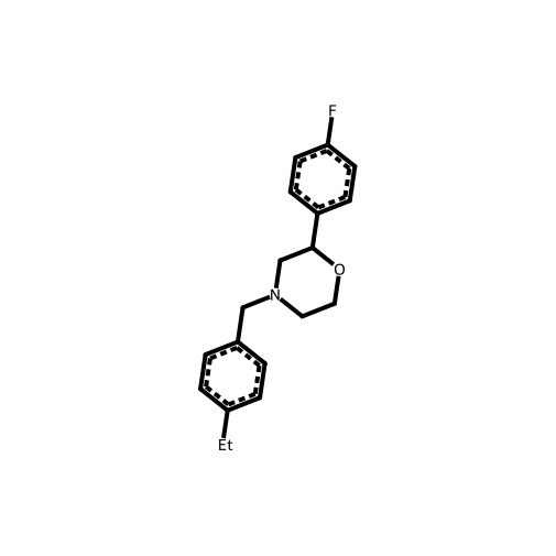 CCc1ccc(CN2CCOC(c3ccc(F)cc3)C2)cc1